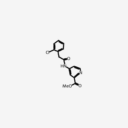 COC(=O)c1cc(NC(=O)Cc2ccccc2Cl)ccn1